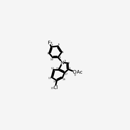 CC(=O)Oc1cn(-c2ccc(F)cc2)c2ccc(Cl)cc12